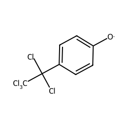 [O]c1ccc(C(Cl)(Cl)C(Cl)(Cl)Cl)cc1